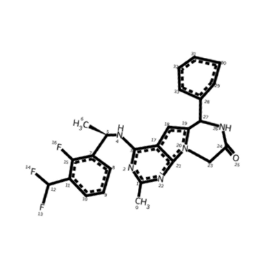 Cc1nc(N[C@H](C)c2cccc(C(F)F)c2F)c2cc3n(c2n1)CC(=O)NC3c1ccccc1